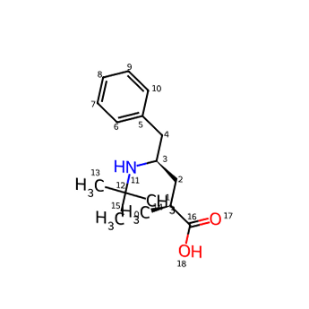 C[C@@H](C[C@H](Cc1ccccc1)NC(C)(C)C)C(=O)O